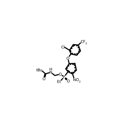 CCP(=O)(OCNC(=O)C(C)(C)C)c1cc(Oc2ccc(C(F)(F)F)cc2Cl)ccc1[N+](=O)[O-]